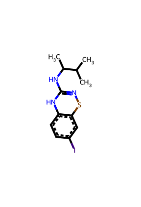 CC(C)C(C)NC1=NSc2cc(I)ccc2N1